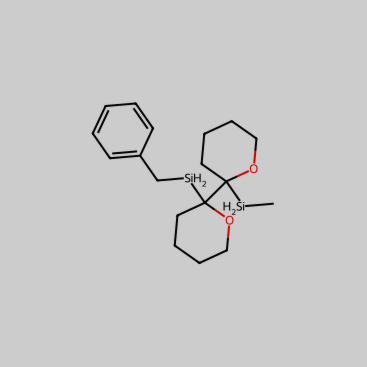 C[SiH2]C1(C2([SiH2]Cc3ccccc3)CCCCO2)CCCCO1